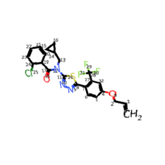 C=CCOc1ccc(-c2nnc(N(CC3CC3)C(=O)C3C=CC=CC3Cl)s2)c(C(F)(F)F)c1